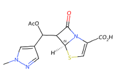 CC(=O)OC(c1cnn(C)c1)C1C(=O)N2C(C(=O)O)=CS[C@@H]12